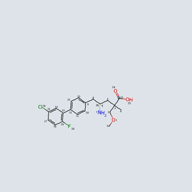 COCC(C)(C[C@H](N)Cc1ccc(-c2cc(Cl)ccc2F)cc1)C(=O)O